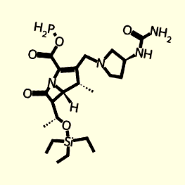 CC[Si](CC)(CC)O[C@H](C)C1C(=O)N2C(C(=O)OP)=C(CN3CC[C@H](NC(N)=O)C3)[C@H](C)[C@H]12